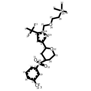 CC(F)(F)c1cc(C2CC(S(=O)(=O)c3cccc(C(F)(F)F)c3)CCO2)nn1COCC[Si](C)(C)C